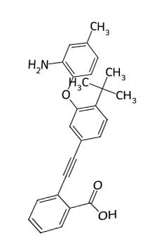 Cc1ccc(Oc2cc(C#Cc3ccccc3C(=O)O)ccc2C(C)(C)C)c(N)c1